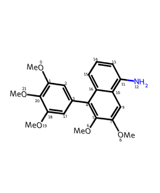 COc1cc(-c2c(OC)c(OC)cc3c(N)cccc23)cc(OC)c1OC